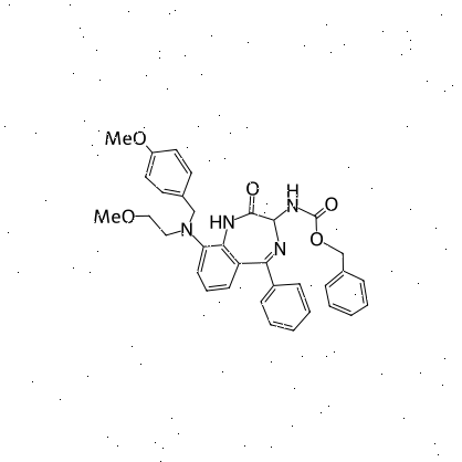 COCCN(Cc1ccc(OC)cc1)c1cccc2c1NC(=O)C(NC(=O)OCc1ccccc1)N=C2c1ccccc1